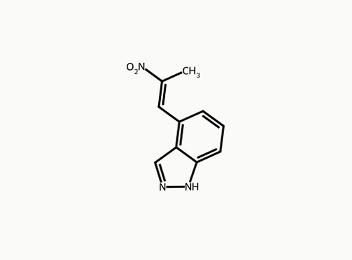 CC(=Cc1cccc2[nH]ncc12)[N+](=O)[O-]